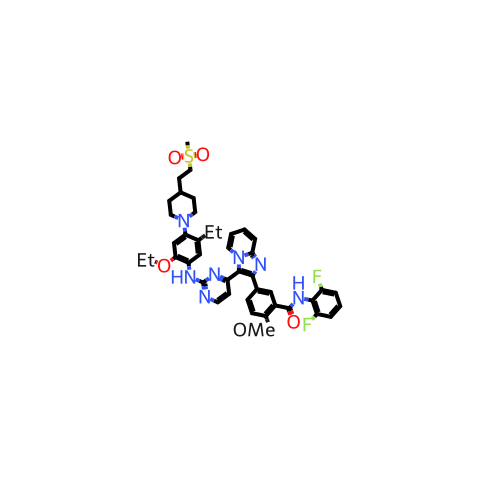 CCOc1cc(N2CCC(CCS(C)(=O)=O)CC2)c(CC)cc1Nc1nccc(-c2c(-c3ccc(OC)c(C(=O)Nc4c(F)cccc4F)c3)nc3ccccn23)n1